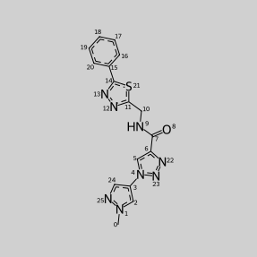 Cn1cc(-n2cc(C(=O)NCc3nnc(-c4ccccc4)s3)nn2)cn1